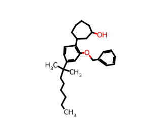 CCCCCCC(C)(C)c1ccc(C2CCCCC(O)C2)c(OCc2ccccc2)c1